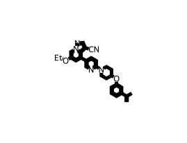 C=C(C)c1cccc(OC2CCN(c3ccc(-c4cc(OCC)cn5ncc(C#N)c45)cn3)CC2)c1